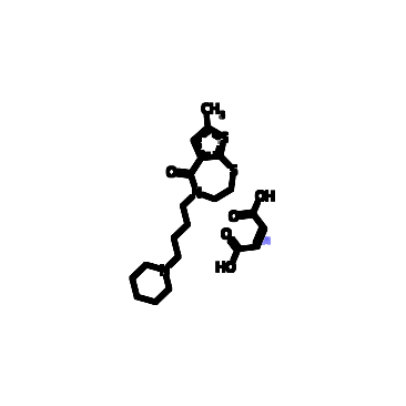 Cc1cc2c(s1)SCCN(CCCCN1CCCCC1)C2=O.O=C(O)/C=C\C(=O)O